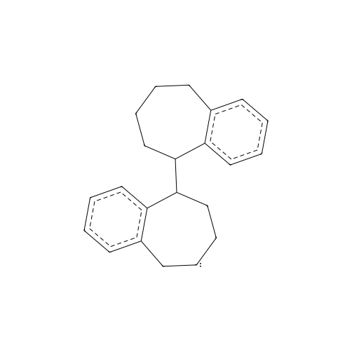 [C]1CCC(C2CCCCc3ccccc32)c2ccccc2C1